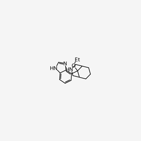 CCOC1(c2cccc3[nH]cnc23)C2CCCC1CNC2